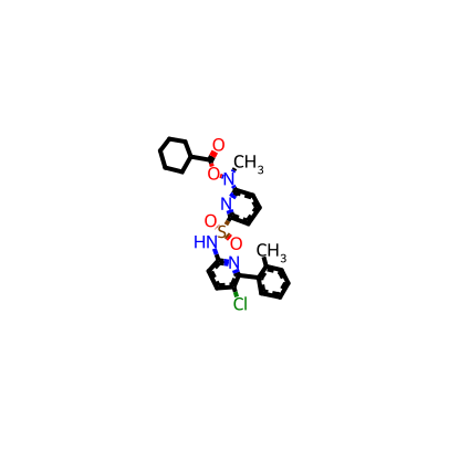 Cc1ccccc1-c1nc(NS(=O)(=O)c2cccc(N(C)OC(=O)C3CCCCC3)n2)ccc1Cl